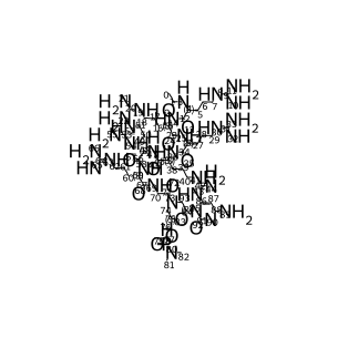 CC(=O)N[C@@H](CCCNC(=N)N)C(=O)N[C@@H](CCCNC(N)N)C(=O)N[C@@H](CCCNC(=N)N)C(=O)N[C@@H](CCCNC(=N)N)C(=O)N[C@@H](CCCNC(=N)N)C(=O)N[C@@H](CCCNC(=N)N)C(=O)NCC(=O)N1C[C@@H](CO[PH](=O)N(C)C)O[C@@H](n2ccc(N)nc2=O)C1